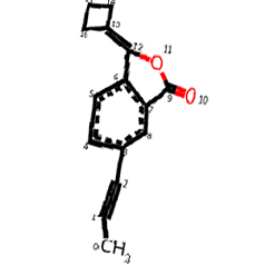 CC#Cc1ccc2c(c1)C(=O)OC2=C1CCC1